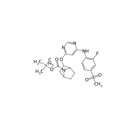 CC(C)(C)OC(=O)N1C2CCC1C(Oc1cc(Nc3ccc(S(C)(=O)=O)cc3F)ncn1)C2